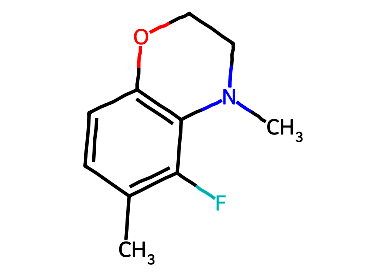 Cc1ccc2c(c1F)N(C)CCO2